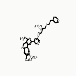 COc1cc2ncc3c(N)nc(-c4cncc(OC[C@@H](N)CSCCc5ccncc5)c4)cc3c2cc1OC